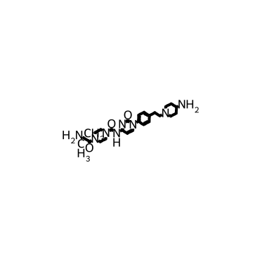 CC(C)(N)C(=O)N1CCN(C(=O)Nc2ccn(-c3ccc(CCN4CCC(N)CC4)cc3)c(=O)n2)CC1